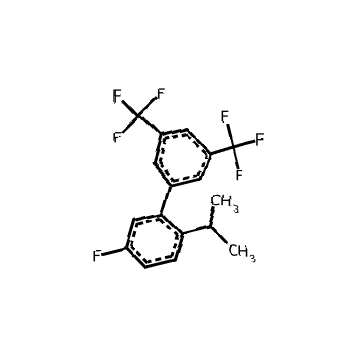 CC(C)c1ccc(F)cc1-c1cc(C(F)(F)F)cc(C(F)(F)F)c1